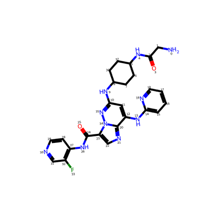 NCC(=O)NC1CCC(Nc2cc(Nc3ccccn3)c3ncc(C(=O)Nc4ccncc4F)n3n2)CC1